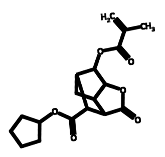 C=C(C)C(=O)OC1C2CC3C1OC(=O)C3C2C(=O)OC1CCCC1